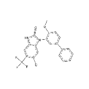 COc1ccc(-c2ccccc2)cc1-n1c(=O)[nH]c2cc(C(F)(F)F)c(Cl)cc21